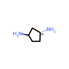 NC1CC[C@@H](N)C1